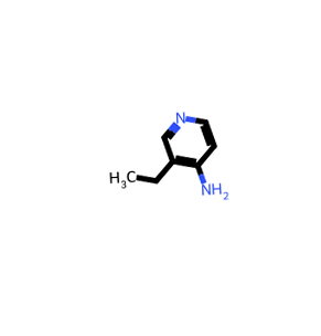 CCc1cnccc1N